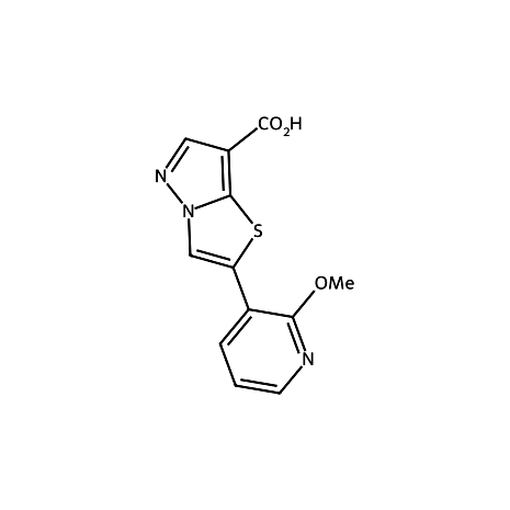 COc1ncccc1-c1cn2ncc(C(=O)O)c2s1